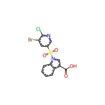 O=C(O)c1cn(S(=O)(=O)c2cnc(Cl)c(Br)c2)c2ccccc12